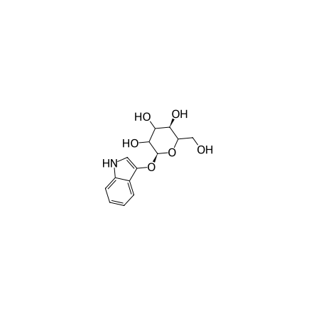 OCC1O[C@@H](Oc2c[nH]c3ccccc23)C(O)C(O)[C@H]1O